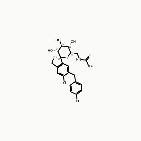 CCc1ccc(Cc2cc3c(cc2Cl)CO[C@]32O[C@H](CNC(=O)C(C)(C)C)[C@@H](O)[C@H](O)[C@H]2O)cc1